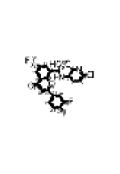 C[C@@H](Nc1ccc(Cl)nc1C(=O)O)c1cc(C(F)(F)F)cc2c(=O)cc(-c3ccc(F)c(F)c3)oc12